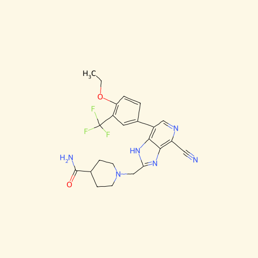 CCOc1ccc(-c2cnc(C#N)c3nc(CN4CCC(C(N)=O)CC4)[nH]c23)cc1C(F)(F)F